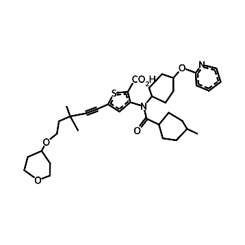 CC1CCC(C(=O)N(c2cc(C#CC(C)(C)CCOC3CCOCC3)sc2C(=O)O)C2CCC(Oc3ccccn3)CC2)CC1